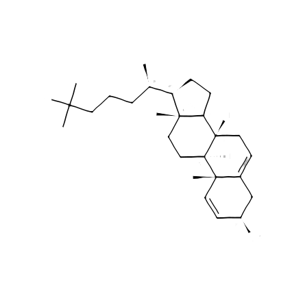 CC(=O)O[C@H]1C=C[C@@]2(C)C(=CC[C@H]3[C@@H]4CC[C@H]([C@H](C)CCCC(C)(C)O)[C@@]4(C)CC[C@@H]32)C1